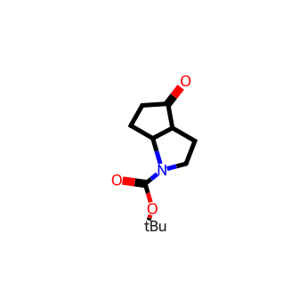 CC(C)(C)OC(=O)N1CCC2C(=O)CCC21